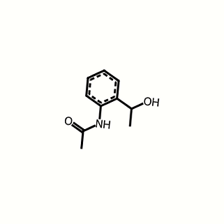 CC(=O)Nc1ccccc1C(C)O